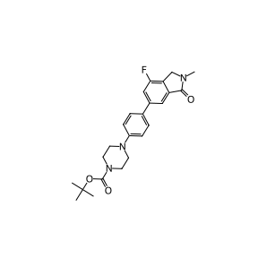 CN1Cc2c(F)cc(-c3ccc(N4CCN(C(=O)OC(C)(C)C)CC4)cc3)cc2C1=O